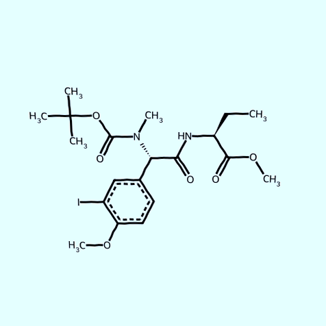 CC[C@H](NC(=O)[C@H](c1ccc(OC)c(I)c1)N(C)C(=O)OC(C)(C)C)C(=O)OC